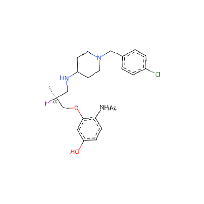 CC(=O)Nc1ccc(O)cc1OC[C@@](C)(I)CNC1CCN(Cc2ccc(Cl)cc2)CC1